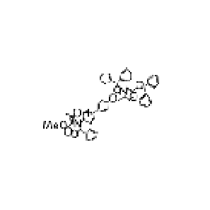 COC(=O)[C@H]([C@@H](C)O)N(C(=O)c1ccccc1)c1ccc(-c2ccc(OCC3=COC(OC(c4ccccc4)c4ccccc4)=CN3OC(c3ccccc3)c3ccccc3)cc2)cc1